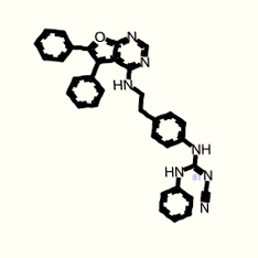 N#C/N=C(\Nc1ccccc1)Nc1ccc(CCNc2ncnc3oc(-c4ccccc4)c(-c4ccccc4)c23)cc1